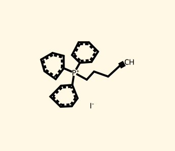 C#CCCC[P+](c1ccccc1)(c1ccccc1)c1ccccc1.[I-]